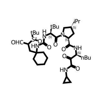 CCCC[C@H](NC(=O)[C@@H]1C[C@@H](C(C)C)CN1C(=O)[C@@H](NC(=O)NC1(CC(C=O)[S+]([O-])C(C)(C)C)CCCCC1)C(C)(C)C)C(=O)C(=O)NC1CC1